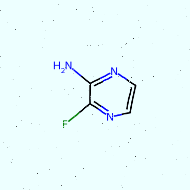 Nc1nccnc1F